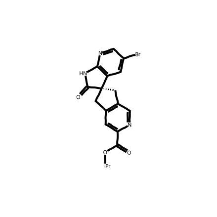 CC(C)OC(=O)c1cc2c(cn1)C[C@]1(C2)C(=O)Nc2ncc(Br)cc21